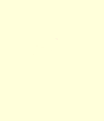 CC(=O)O.Cc1ccc(C(=O)c2[nH]ccc2C)cc1